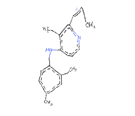 C/C=C\c1nccc(Nc2ccc(C)cc2C)c1C